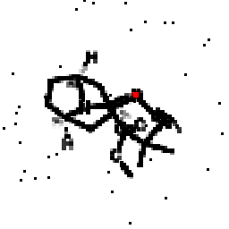 COC(=O)[C@@]1(CC#N)C[C@H]2CC[C@@H](C1)N2C(=O)OC(C)(C)C